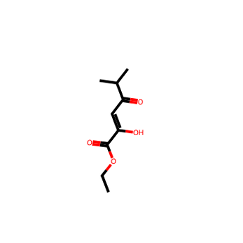 CCOC(=O)C(O)=CC(=O)C(C)C